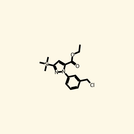 CCOC(=O)c1cc([Si](C)(C)C)nn1-c1cccc(CCl)c1